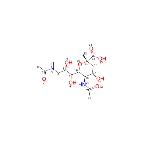 CC(=O)NC[C@@H](O)[C@@H](O)C1O[C@](C)(C(=O)O)C[C@@H](O)[C@H]1NC(C)=O